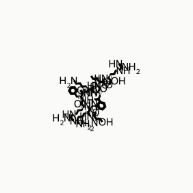 CC[C@H](C)[C@H](NC(=O)[C@H](Cc1c[nH]c2ccccc12)NC(=O)[C@H](CCCCN)NC(=O)[C@H](Cc1ccccc1)NC(=O)[C@H](CCCNC(=N)N)NC(=O)[C@H](CCCCN)NC(=O)[C@@H](N)CO)C(=O)N[C@@H](CCCNC(=N)N)C(=O)O